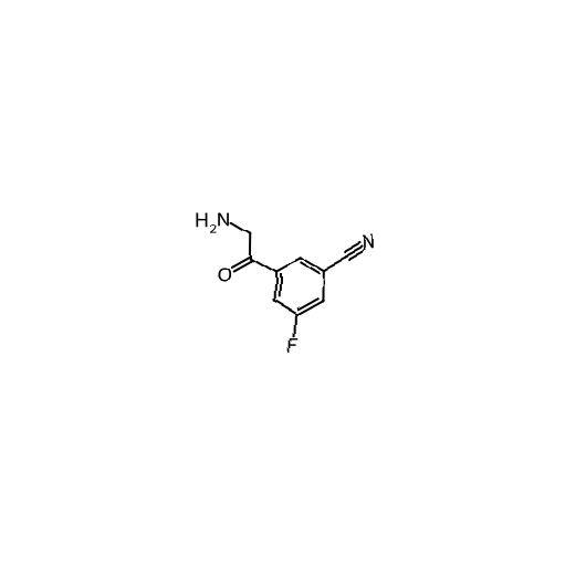 N#Cc1cc(F)cc(C(=O)CN)c1